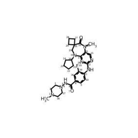 CN1CCN(NC(=O)c2ccc(Nc3ncc4c(n3)N(C3CCCC3)CC3(CCC3)C(=O)N4C)c(F)c2)CC1